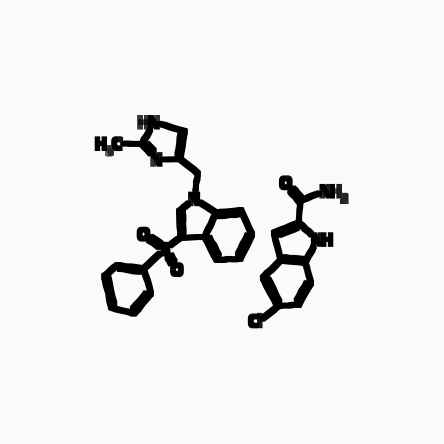 Cc1nc(Cn2cc(S(=O)(=O)c3ccccc3)c3ccccc32)c[nH]1.NC(=O)c1cc2cc(Cl)ccc2[nH]1